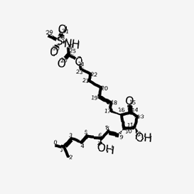 CC(C)=CCC[C@@H](O)C=C[C@H]1[C@H](O)CC(=O)[C@@H]1CC=CCCCCOC(=O)NS(C)(=O)=O